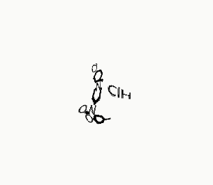 COC1CCC(C)(N2CCC(n3c(=O)oc4ccc(C)cc43)CC2)CC1.Cl